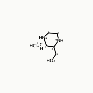 Cl.Cl.OCC1CNCCN1